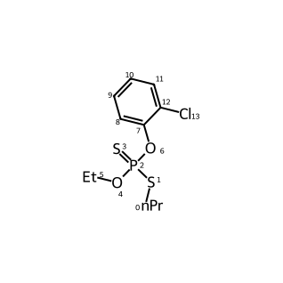 CCCSP(=S)(OCC)Oc1ccccc1Cl